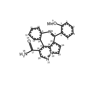 COc1ccccc1C1=Nc2ccccc2-c2c(C(N)=O)cnn3ccc1c23